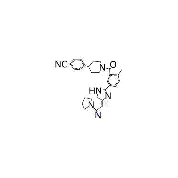 C/N=C(\C=C1/CNC(c2ccc(C)c(C(=O)N3CCC(c4ccc(C#N)cc4)CC3)c2)=N1)N1CCCC1